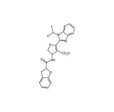 O=C(O)C1=C(c2nc3ccccc3n2C(F)F)SCC1NC(=O)C1Cc2ccccc2O1